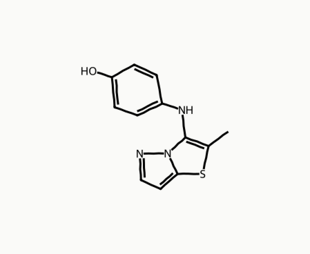 Cc1sc2ccnn2c1Nc1ccc(O)cc1